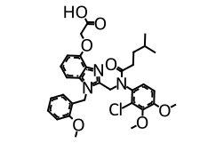 COc1ccccc1Cn1c(CN(C(=O)CCC(C)C)c2ccc(OC)c(OC)c2Cl)nc2c(OCC(=O)O)cccc21